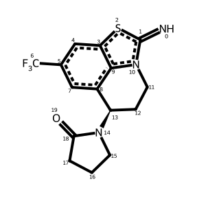 N=c1sc2cc(C(F)(F)F)cc3c2n1CC[C@H]3N1CCCC1=O